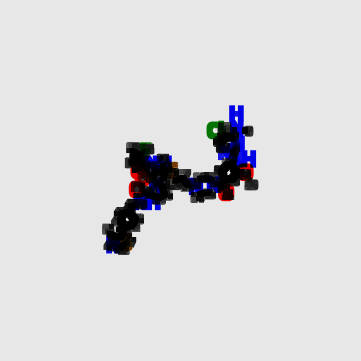 CNc1nc(Nc2ccc(C(=O)N3CCN(CCCSC(C)(C)C(NC(=O)C4(F)CC4)C(=O)N4CCC[C@H]4C(=O)NCc4ccc(-c5scnc5C)cc4)CC3)cc2OC)ncc1Cl